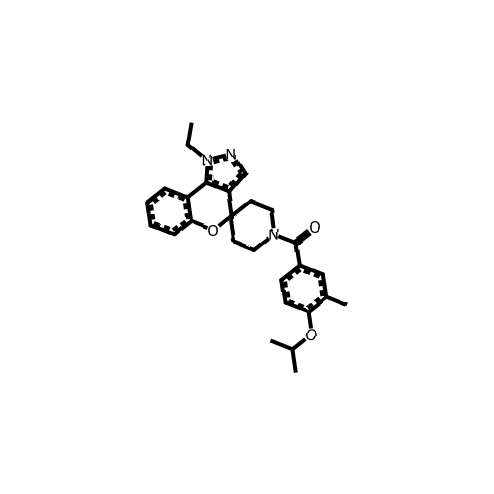 CCn1ncc2c1-c1ccccc1OC21CCN(C(=O)c2ccc(OC(C)C)c(C)c2)CC1